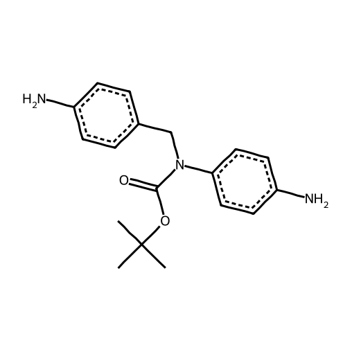 CC(C)(C)OC(=O)N(Cc1ccc(N)cc1)c1ccc(N)cc1